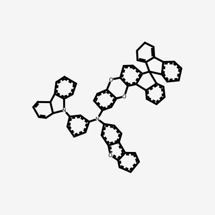 C1=CC2c3ccccc3N(c3cccc(N(c4ccc5c(c4)Oc4c(ccc6c4-c4ccccc4C64C6=CCCC=C6c6ccccc64)O5)c4ccc5c(c4)oc4ccccc45)c3)C2C=C1